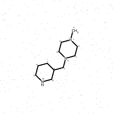 CN1CCN(CC2CCCNC2)CC1